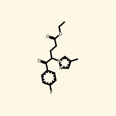 CCOC(=O)CCC(C(=O)c1ccc(F)cc1)n1cc(C)cn1